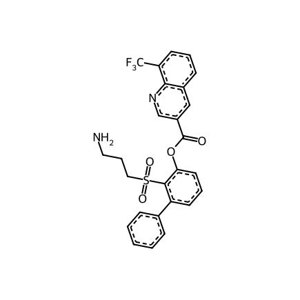 NCCCS(=O)(=O)c1c(OC(=O)c2cnc3c(C(F)(F)F)cccc3c2)cccc1-c1ccccc1